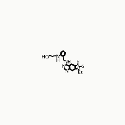 CCn1c(=S)[nH]c2cc3c(NCc4ccccc4NCCCO)ncnc3cc21